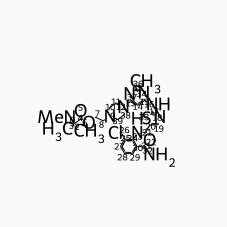 CNC(C)(C)C(=O)OCCN1CCN(c2cc(Nc3ncc(C(=O)Nc4c(Cl)cccc4CN)s3)nc(C)n2)CC1